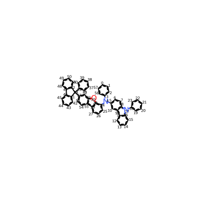 c1ccc(N(c2ccc3c(c2)c2ccccc2n3-c2ccccc2)c2cccc3c2oc2cc(C4(c5ccccc5)c5ccccc5-c5ccccc54)ccc23)cc1